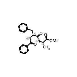 COC(=O)[C@H](C)NC(=O)[C@H](Cc1ccccc1)NC(=O)c1ccccc1